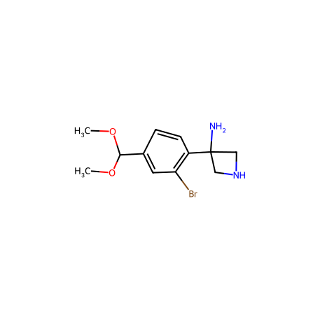 COC(OC)c1ccc(C2(N)CNC2)c(Br)c1